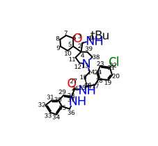 CC(C)(C)NC(=O)C1(C2CCCCC2)CCN(CC[C@@H](Cc2ccc(Cl)cc2)NC(=O)C2=Cc3ccccc3CN2)CC1